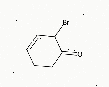 O=C1CCC=CC1Br